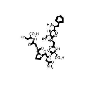 CC(C)C[C@H](NC(=O)CNC(=O)[C@@H]1CCCN1C(=O)[C@H](CC(N)=O)NC(=O)[C@H](CC(=O)O)NC(=O)CNC(=O)[C@H](CC(C)C)NC(=O)[C@@H](N)Cc1ccccc1)C(=O)O